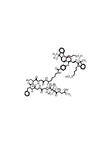 CC(C)CC(NC(=O)C(Cc1ccccc1)NC(=O)CNC(=O)CNC(=O)C(C)(C)C(C)(C)C(=O)NCC(C)O)C(=O)NCC(=O)NC(CCCCNC(=O)c1ccc(SC2=C(/C=C/C3=[N+](CCCCS(=O)(=O)O)c4ccccc4C3(C)C)CCC/C2=C\C=C2/N(CCCCS(=O)(=O)O)c3ccccc3C2(C)C)cc1)C(=O)O